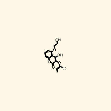 CC=C(CC)Oc1c(O)c2c(OCCO)cccc2oc1=O